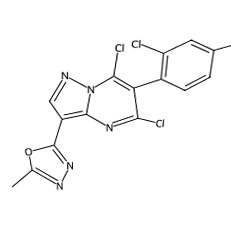 Cc1nnc(-c2cnn3c(Cl)c(-c4ccc(F)cc4Cl)c(Cl)nc23)o1